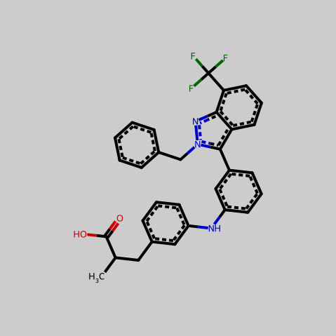 CC(Cc1cccc(Nc2cccc(-c3c4cccc(C(F)(F)F)c4nn3Cc3ccccc3)c2)c1)C(=O)O